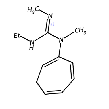 CCN/C(=N\C)N(C)C1=CCC=CC=C1